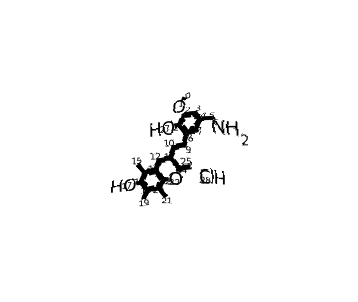 COc1cc(CN)cc(CCC2Cc3c(C)c(O)c(C)c(C)c3OC2C)c1O.Cl